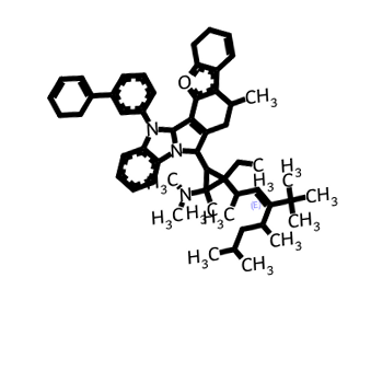 CCC1(C(C)/C=C(\C(C)CC(C)C)C(C)(C)C)C(C2C3=C(c4oc5c(c4C(C)C3)C=CCC5)C3N(c4cccc(C5=CC=CCC5)c4)c4ccccc4N23)C1(C)N(C)C